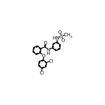 CS(=O)(=O)Nc1cccc(NC(=O)c2ccccc2Oc2ccc(Cl)cc2Cl)c1